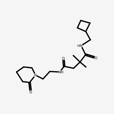 CC(C)(CC(=O)NCCN1CCCCC1=O)C(=O)NCC1CCC1